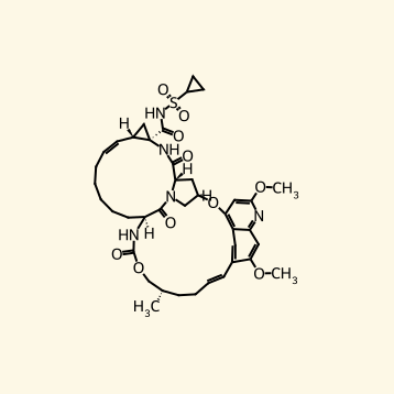 COc1cc2c3cc(c(OC)cc3n1)/C=C/CC[C@H](C)COC(=O)N[C@H]1CCCCC/C=C\[C@@H]3C[C@@]3(C(=O)NS(=O)(=O)C3CC3)NC(=O)[C@@H]3C[C@H](CN3C1=O)O2